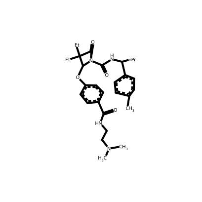 CCCC(NC(=O)N1C(=O)C(CC)(CC)C1Oc1ccc(C(=O)NCCN(C)C)cc1)c1ccc(C)cc1